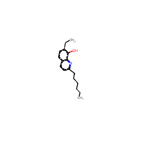 CCCCCCc1ccc2ccc(CC)c(O)c2n1